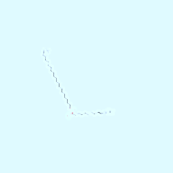 CCCCC=CCCCCCCCC(=O)OCCCCCCCCCCCCCCCCCCCCCC(C)C